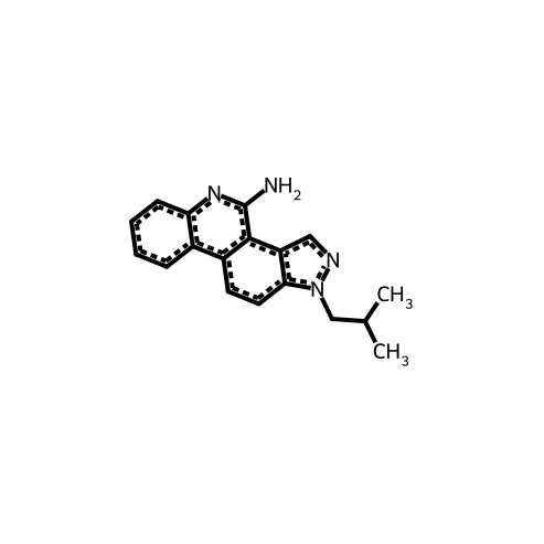 CC(C)Cn1ncc2c3c(N)nc4ccccc4c3ccc21